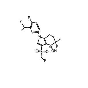 O=S(=O)(CF)c1cn(-c2ccc(F)c(C(F)F)c2)c2c1[C@H](O)C(F)(F)CC2